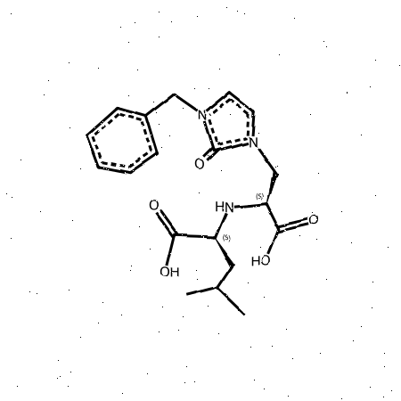 CC(C)C[C@H](N[C@@H](Cn1ccn(Cc2ccccc2)c1=O)C(=O)O)C(=O)O